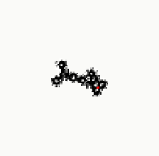 c1ccc(-c2cc(-c3ccccc3)nc(-c3ccc(-c4ccc(-n5nc(-c6ccccc6)c6c(-c7ccccc7)cc7ccccc7c65)cc4)cc3)n2)cc1